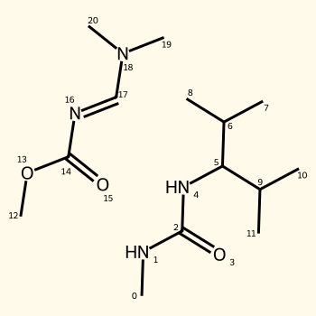 CNC(=O)NC(C(C)C)C(C)C.COC(=O)N=CN(C)C